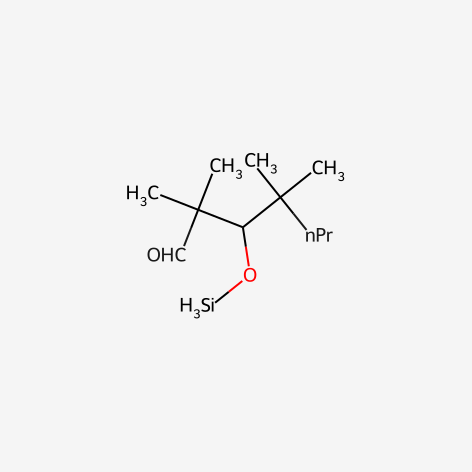 CCCC(C)(C)C(O[SiH3])C(C)(C)C=O